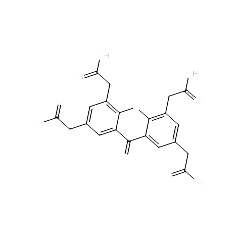 O=C(O)Cc1cc(CC(=O)O)c2sc3c(CC(=O)O)cc(CC(=O)O)cc3c(=O)c2c1